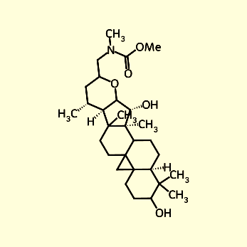 COC(=O)N(C)CC1C[C@@H](C)[C@H]2C(O1)[C@H](O)[C@@]1(C)C3CC[C@H]4C(C)(C)C(O)CCC45CC35CCC21C